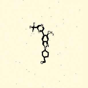 Cc1cc2nn(C3CCC(C=O)CC3)cc2cc1-c1cncc(C(F)(F)F)n1